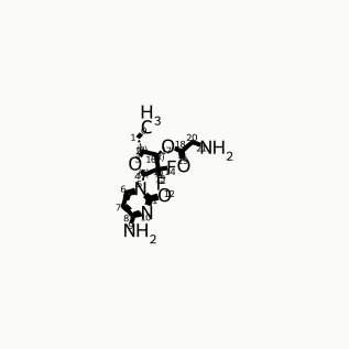 CC[C@H]1O[C@@H](n2ccc(N)nc2=O)C(F)(F)[C@@H]1OC(=O)CN